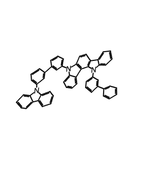 c1ccc(-c2cccc(-n3c4ccccc4c4ccc5c(c6ccccc6n5-c5cccc(-c6cccc(-n7c8ccccc8c8ccccc87)c6)c5)c43)c2)cc1